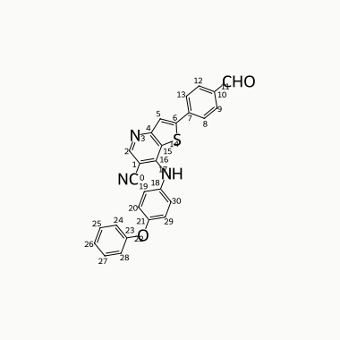 N#Cc1cnc2cc(-c3ccc(C=O)cc3)sc2c1Nc1ccc(Oc2ccccc2)cc1